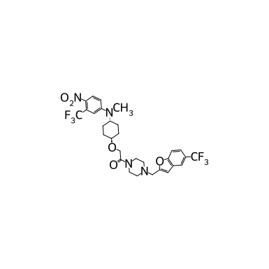 CN(c1ccc([N+](=O)[O-])c(C(F)(F)F)c1)[C@H]1CC[C@H](OCC(=O)N2CCN(Cc3cc4cc(C(F)(F)F)ccc4o3)CC2)CC1